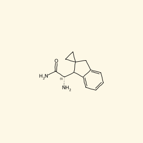 NC(=O)[C@@H](N)C1c2ccccc2CC12CC2